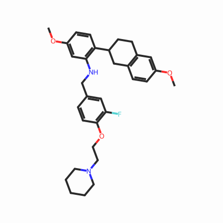 COc1ccc2c(c1)CCC(c1ccc(OC)cc1NCc1ccc(OCCN3CCCCC3)c(F)c1)C2